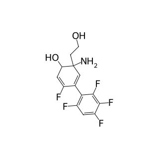 NC1(CCO)C=C(c2c(F)cc(F)c(F)c2F)C(F)=CC1O